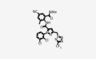 CNC(=O)c1cc(C#N)cc(C)c1NC(=O)c1cc(Cn2nnc(C(F)(F)F)n2)nn1-c1cccc(Cl)c1Cl